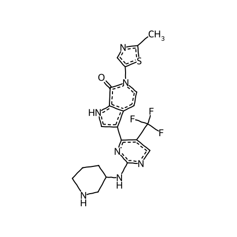 Cc1ncc(-n2ccc3c(-c4nc(NC5CCCNC5)ncc4C(F)(F)F)c[nH]c3c2=O)s1